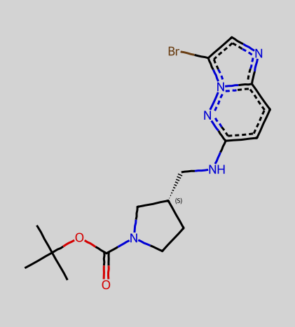 CC(C)(C)OC(=O)N1CC[C@@H](CNc2ccc3ncc(Br)n3n2)C1